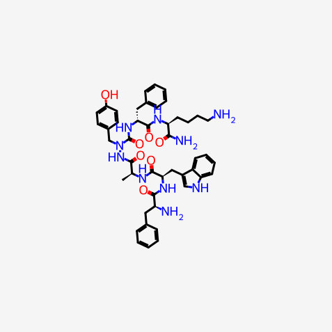 C[C@H](NC(=O)[C@@H](Cc1c[nH]c2ccccc12)NC(=O)[C@@H](N)Cc1ccccc1)C(=O)NN(Cc1ccc(O)cc1)C(=O)N[C@H](Cc1ccccc1)C(=O)N[C@@H](CCCCN)C(N)=O